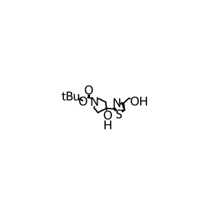 CC(C)(C)OC(=O)N1CCC(O)(c2nc(CO)cs2)CC1